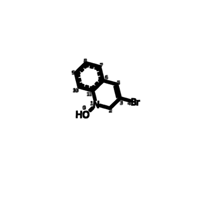 ON1CC(Br)=Cc2ccccc21